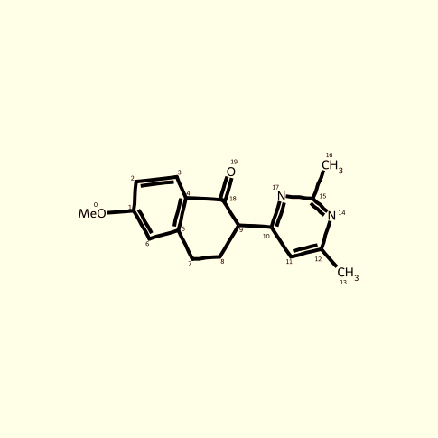 COc1ccc2c(c1)CCC(c1cc(C)nc(C)n1)C2=O